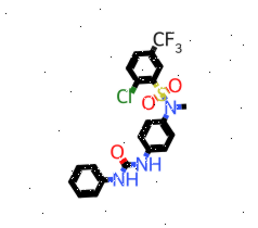 CN(c1ccc(NC(=O)Nc2ccccc2)cc1)S(=O)(=O)c1cc(C(F)(F)F)ccc1Cl